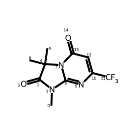 CN1C(=O)C(C)(C)n2c1nc(C(F)(F)F)cc2=O